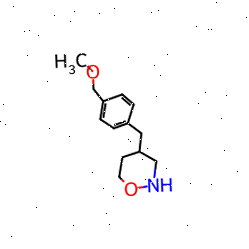 COCc1ccc(CC2CCONC2)cc1